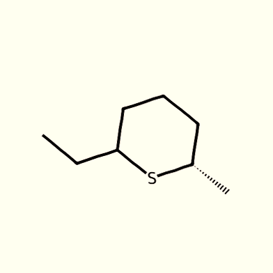 CCC1CCC[C@H](C)S1